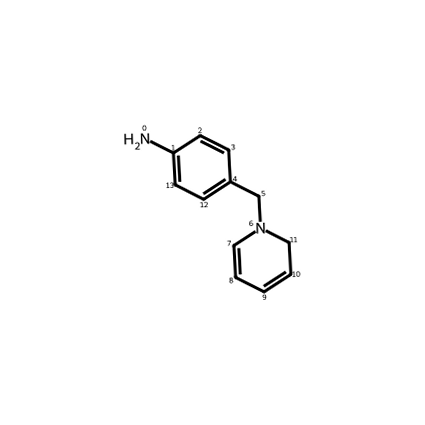 Nc1ccc(CN2C=CC=CC2)cc1